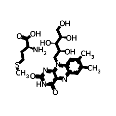 CSCC[C@H](N)C(=O)O.Cc1cc2nc3c(=O)[nH]c(=O)nc-3n(C[C@H](O)[C@H](O)[C@H](O)CO)c2cc1C